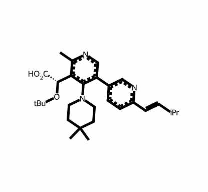 Cc1ncc(-c2ccc(/C=C/C(C)C)nc2)c(N2CCC(C)(C)CC2)c1[C@H](OC(C)(C)C)C(=O)O